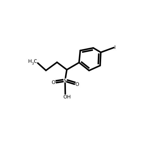 CCCC(c1ccc(I)cc1)S(=O)(=O)O